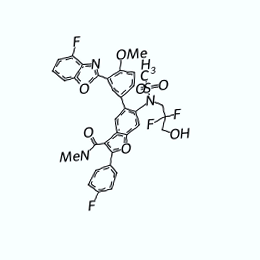 CNC(=O)c1c(-c2ccc(F)cc2)oc2cc(N(CC(F)(F)CO)S(C)(=O)=O)c(-c3ccc(OC)c(-c4nc5c(F)cccc5o4)c3)cc12